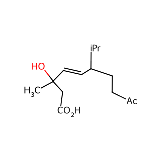 CC(=O)CCC(C=CC(C)(O)CC(=O)O)C(C)C